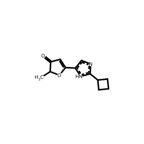 CC1OC(c2cnc(C3CCC3)[nH]2)=CC1=O